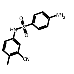 Cc1ccc(NS(=O)(=O)c2ccc(N)cc2)cc1C#N